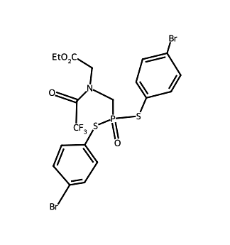 CCOC(=O)CN(CP(=O)(Sc1ccc(Br)cc1)Sc1ccc(Br)cc1)C(=O)C(F)(F)F